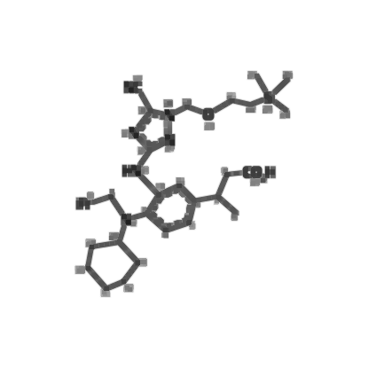 CC(C)CN(c1ccc(C(C)CC(=O)O)cc1Nc1nc(C#N)n(COCC[Si](C)(C)C)n1)C1CCCCC1